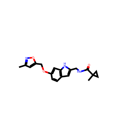 Cc1cc(COc2ccc3cc(CNC(=O)C4(C)CC4)[nH]c3c2)on1